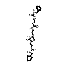 CC(C)(C)CC(CCCNC(=O)OCCOC(=O)NCc1ccccc1)NC(=O)OCCOC(=O)NCC1=CCCC=C1